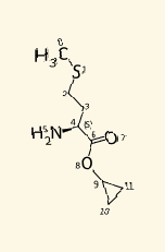 CSCC[C@H](N)C(=O)OC1CC1